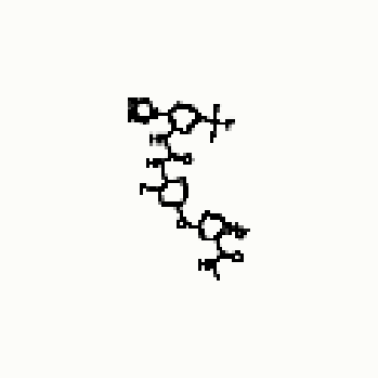 CNC(=O)c1cc(Oc2ccc(NC(=O)Nc3cc(C(F)(F)F)ccc3-n3cnnc3)c(F)c2)cc[n+]1[O-]